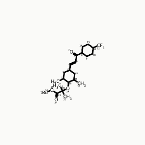 CC1CC(/C=C/C(=O)C2CCC(C(F)(F)F)CC2)CC(C)C1OC(C)(C)C(=O)OC(C)(C)C